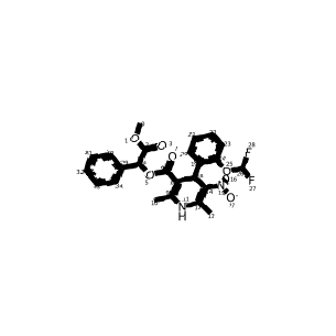 COC(=O)C(OC(=O)C1=C(C)NC(C)=C([N+](=O)[O-])C1c1ccccc1OC(F)F)c1ccccc1